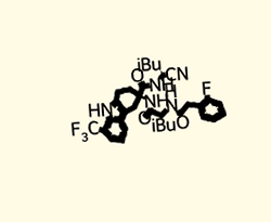 CCC(C)[C@H](NC(=O)Cc1ccccc1F)C(=O)N[C@]1(C(=O)NC(C#N)[C@@H](C)CC)CCc2[nH]c3c(C(F)(F)F)cccc3c2C1